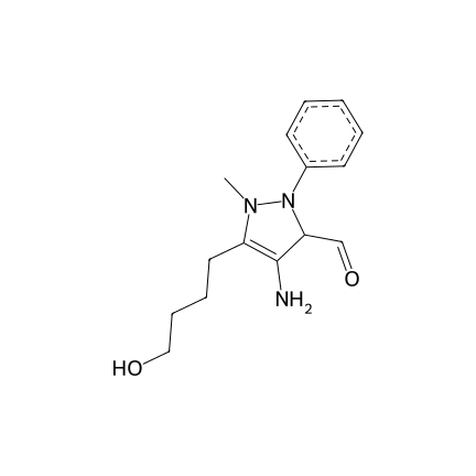 CN1C(CCCCO)=C(N)C(C=O)N1c1ccccc1